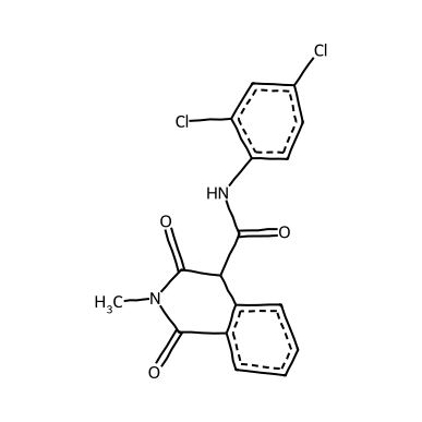 CN1C(=O)c2ccccc2C(C(=O)Nc2ccc(Cl)cc2Cl)C1=O